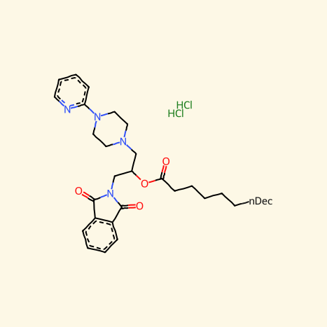 CCCCCCCCCCCCCCCC(=O)OC(CN1CCN(c2ccccn2)CC1)CN1C(=O)c2ccccc2C1=O.Cl.Cl